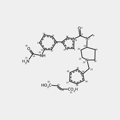 CN(C(=O)n1cnc(-c2cccc(NC(N)=O)c2)c1)C1CCN(Cc2ccccc2)CC1.O=C(O)C=CC(=O)O